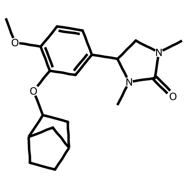 COc1ccc(C2CN(C)C(=O)N2C)cc1OC1CC2CCC1C2